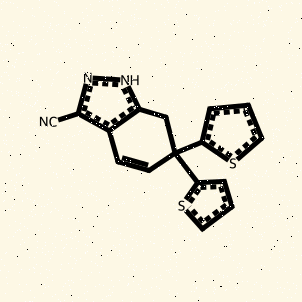 N#Cc1n[nH]c2c1C=CC(c1cccs1)(c1cccs1)C2